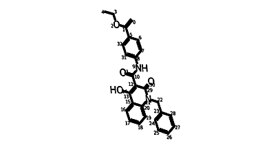 C=C(OCC)c1ccc(NC(=O)c2c(O)c3ccccc3n(Cc3ccccc3)c2=O)cc1